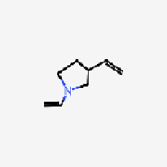 C=CC1CCN(C=C)C1